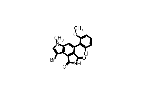 COc1cccc(Cl)c1-c1cc2c(c(Br)cn2C)c2c1C(=O)NC2=O